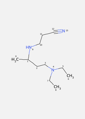 [CH2]C(CCN(CC)CC)NCCC#N